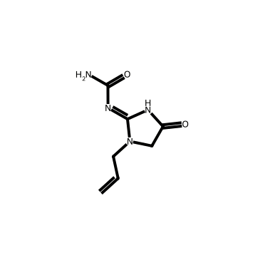 C=CCN1CC(=O)NC1=NC(N)=O